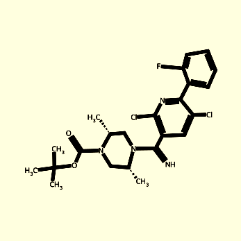 C[C@@H]1CN(C(=O)OC(C)(C)C)[C@H](C)CN1C(=N)c1cc(Cl)c(-c2ccccc2F)nc1Cl